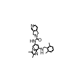 Cc1cccc(C)c1CNc1cc(NC(=O)N2Cc3ccncc3C2)cn2c(C)c(C)nc12